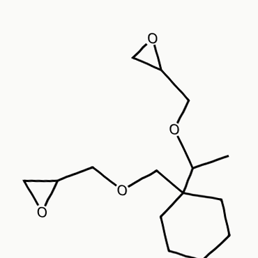 CC(OCC1CO1)C1(COCC2CO2)CCCCC1